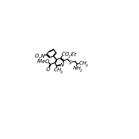 CCOC(=O)c1c(CSCC(C)N)nc(C)c(C(=O)OC)c1-c1cccc([N+](=O)[O-])c1